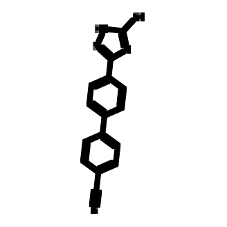 N#Cc1ccc(-c2ccc(-c3n[nH]c(S)n3)cc2)cc1